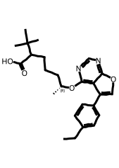 CCc1ccc(-c2coc3ncnc(O[C@H](C)CCCC(C(=O)O)C(C)(C)C)c23)cc1